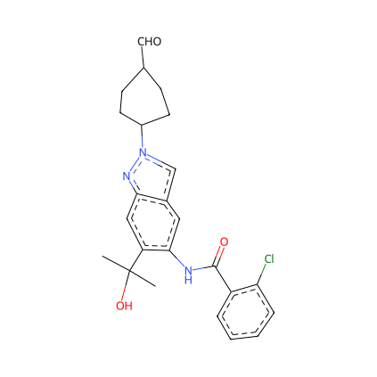 CC(C)(O)c1cc2nn(C3CCC(C=O)CC3)cc2cc1NC(=O)c1ccccc1Cl